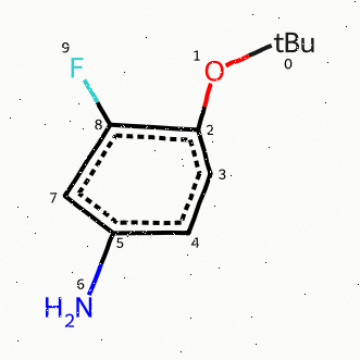 CC(C)(C)Oc1ccc(N)cc1F